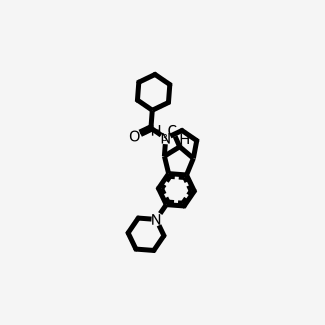 C[C@H]1C2CCN(C(=O)C3CCCCC3)C1c1cc(N3CCCCC3)ccc12